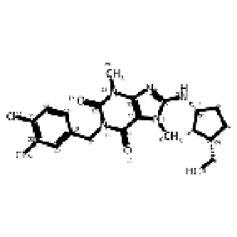 Cn1c(N[C@@H]2CC[C@H](CO)C2)nc2c1c(=O)n(Cc1ccc(Cl)c(Cl)c1)c(=O)n2C